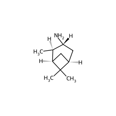 C[C@H]1[C@H](N)C[C@@H]2C[C@H]1C2(C)C